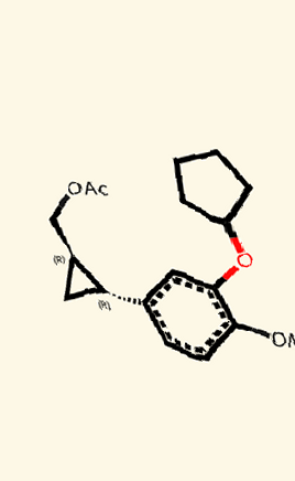 COc1ccc([C@@H]2C[C@H]2COC(C)=O)cc1OC1CCCC1